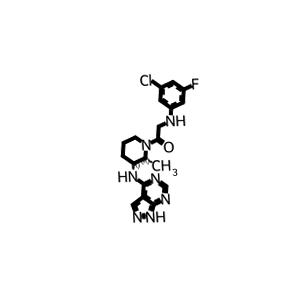 C[C@@H]1[C@H](Nc2ncnc3[nH]ncc23)CCCN1C(=O)CNc1cc(F)cc(Cl)c1